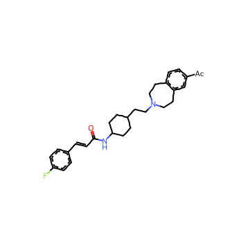 CC(=O)c1ccc2c(c1)CCN(CCC1CCC(NC(=O)/C=C/c3ccc(F)cc3)CC1)CC2